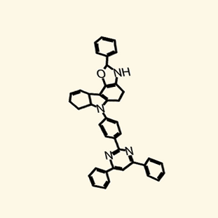 C1=CC2C3=C(CCC4=C3OC(c3ccccc3)N4)N(c3ccc(-c4nc(-c5ccccc5)cc(-c5ccccc5)n4)cc3)C2CC1